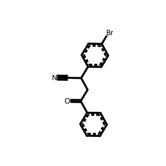 N#CC(CC(=O)c1ccccc1)c1ccc(Br)cc1